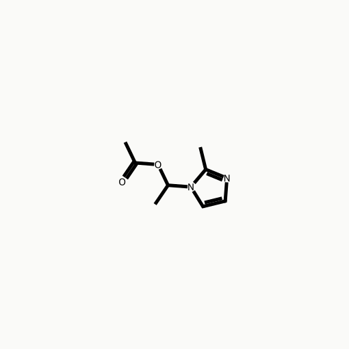 CC(=O)OC(C)n1ccnc1C